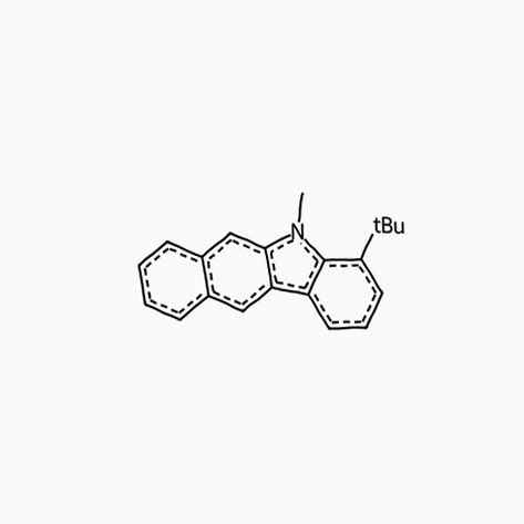 Cn1c2cc3ccccc3cc2c2cccc(C(C)(C)C)c21